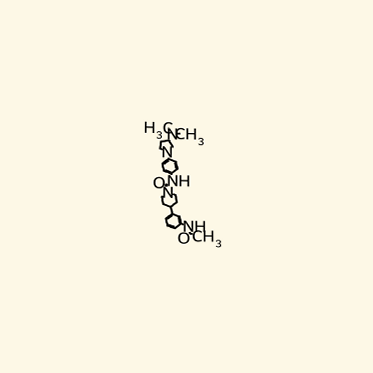 CC(=O)Nc1cccc(C2CCN(C(=O)Nc3ccc(N4CCC(N(C)C)C4)cc3)CC2)c1